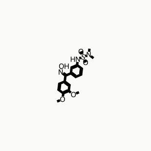 COc1ccc(C(=NO)c2cccc(NS(=O)(=O)N(C)C)c2)cc1OC